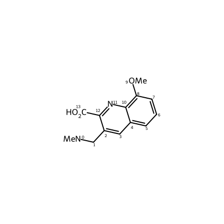 CNCc1cc2cccc(OC)c2nc1C(=O)O